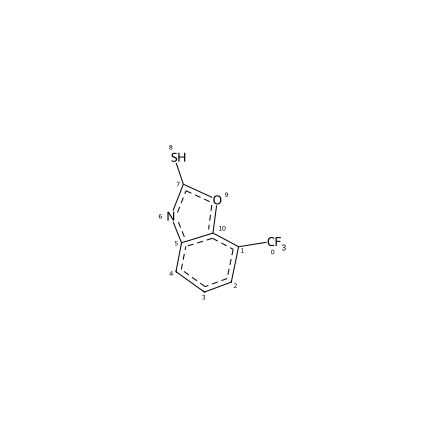 FC(F)(F)c1cccc2nc(S)oc12